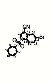 N#Cc1cn(S(=O)(=O)c2ccccc2)c2ncc(Br)cc12